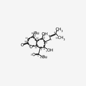 CCC(C)C(=O)c1c(O)c(CC=C(C)C)c(O)c2c(C(C)CC)cc(=O)oc12